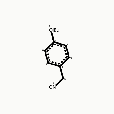 CC(C)COc1ccc(CN=O)cc1